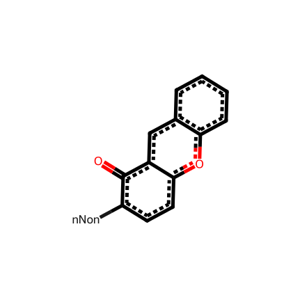 CCCCCCCCCc1ccc2oc3ccccc3cc-2c1=O